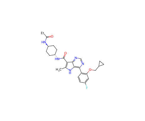 CCC(=O)N[C@H]1CC[C@H](NC(=O)c2c(C)[nH]c3c(-c4ccc(F)cc4OCC4CC4)ncnc23)CC1